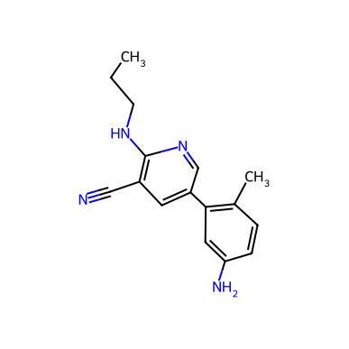 CCCNc1ncc(-c2cc(N)ccc2C)cc1C#N